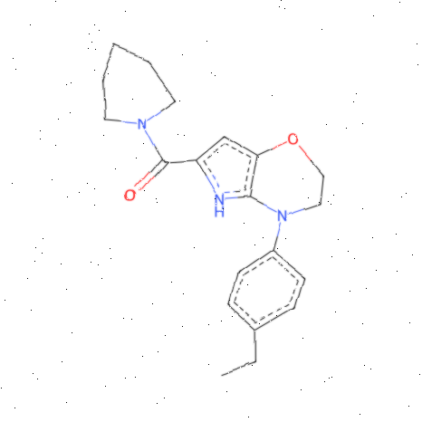 CCc1ccc(N2CCOc3cc(C(=O)N4CCCCC4)[nH]c32)cc1